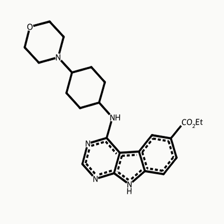 CCOC(=O)c1ccc2[nH]c3ncnc(NC4CCC(N5CCOCC5)CC4)c3c2c1